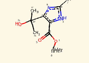 CCCCCCOC(=O)c1[nH]c(CCC)nc1C(C)(C)O